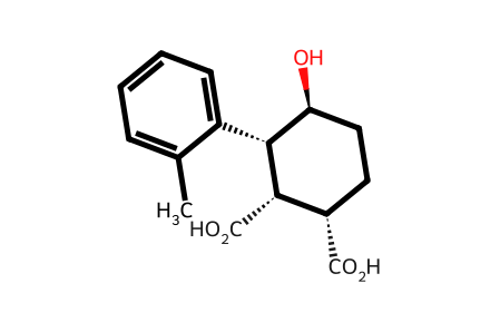 Cc1ccccc1[C@H]1[C@@H](C(=O)O)[C@@H](C(=O)O)CC[C@@H]1O